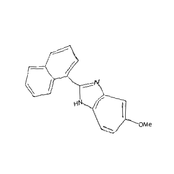 COc1ccc2[nH]c(-c3cccc4ccccc34)nc2c1